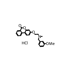 COc1cccc(CN(C)CCOc2ccc3c(c2)oc(=O)c2ccccc23)c1.Cl